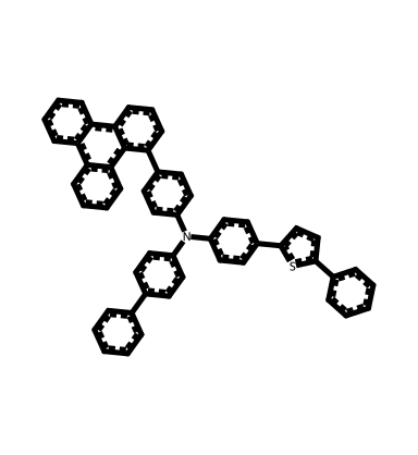 c1ccc(-c2ccc(N(c3ccc(-c4ccc(-c5ccccc5)s4)cc3)c3ccc(-c4cccc5c6ccccc6c6ccccc6c45)cc3)cc2)cc1